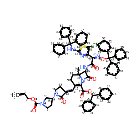 C=CCOC(=O)N1CC[C@@H](N2CC/C(=C\C3=C(C(=O)OC(c4ccccc4)c4ccccc4)N4C(=O)[C@@H](NC(=O)/C(=N\OC(c5ccccc5)(c5ccccc5)c5ccccc5)c5nc(NC(c6ccccc6)(c6ccccc6)c6ccccc6)sc5Cl)[C@H]4CC3)C2=O)C1